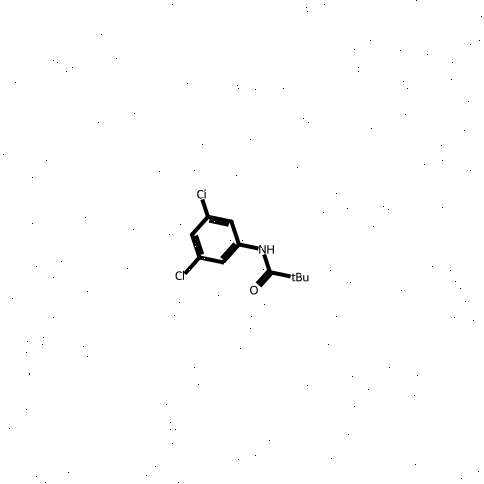 CC(C)(C)C(=O)Nc1cc(Cl)cc(Cl)c1